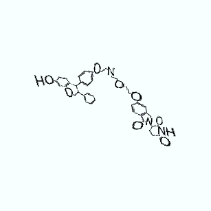 CN(CCOCCOc1ccc2c(c1)CN(C1CCC(=O)NC1=O)C2=O)CCOc1ccc([C@@H]2c3ccc(O)cc3OCC2c2ccccc2)cc1